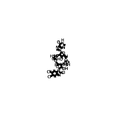 O=c1[nH]cnc2c1ncn2[C@@H]1O[C@@H]2COP(=O)(S)OC3C(O)[C@H](n4c(Cl)nc5cc(Cl)c(Cl)cc54)O[C@@H]3COP(=O)(S)OC1C2O